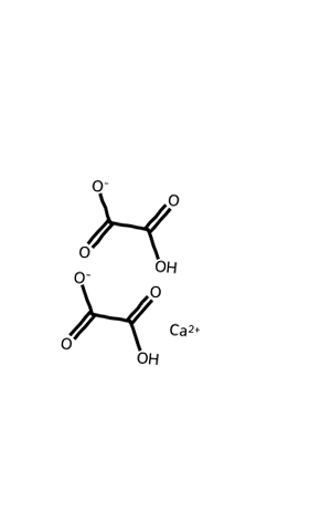 O=C([O-])C(=O)O.O=C([O-])C(=O)O.[Ca+2]